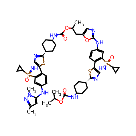 Cc1cc(Nc2ccc(-c3cnc([C@H]4CC[C@H](NC(=O)OC(C)Cc5cnc(Nc6ccc(-c7cnc([C@H]8CC[C@H](NC(=O)OC(C)C)CC8)s7)c(S(=N)(=O)C7CC7)c6)o5)CC4)s3)c(S(=N)(=O)C3CC3)c2)n(C)n1